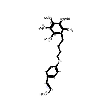 COc1c(C)c(CCCCOc2ccc(/C=C/C(=O)O)cc2)c(OC)c(OC)c1OC